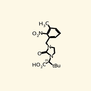 Cc1cccc(CN2CCN([C@H](C(=O)O)C(C)(C)C)C2=O)c1[N+](=O)[O-]